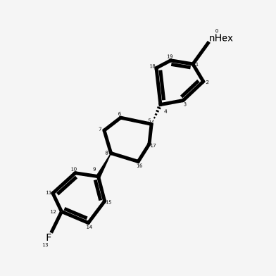 CCCCCCc1ccc([C@H]2CC[C@H](c3ccc(F)cc3)CC2)cc1